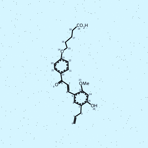 C=CCc1cc(C=CC(=O)c2ccc(OCCCCC(=O)O)cc2)c(OC)cc1O